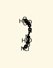 CC1(C)C(NC(=O)c2ccc(CCCCN3CCC(c4ccc5c(c4)CN(C4CCC(=O)NC4=O)C5=O)CC3)nc2)C(C)(C)C1Oc1ccc(C#N)c(Cl)c1